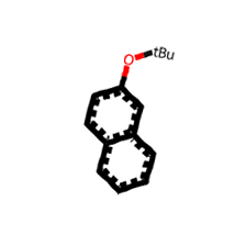 CC(C)(C)Oc1ccc2c[c]ccc2c1